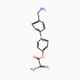 C=C(C)C(=O)Oc1ccc(-c2ccc(CN)cc2)cc1